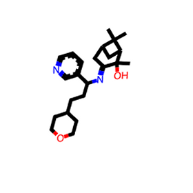 CC1(O)/C(=N/C(CCC2CCOCC2)c2cccnc2)CC2CC1C2(C)C